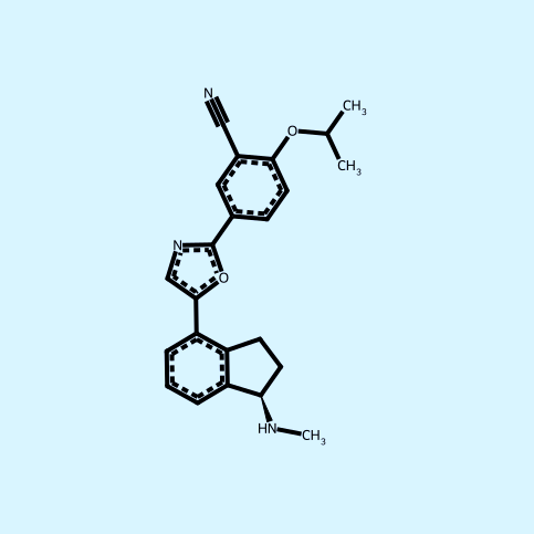 CN[C@@H]1CCc2c(-c3cnc(-c4ccc(OC(C)C)c(C#N)c4)o3)cccc21